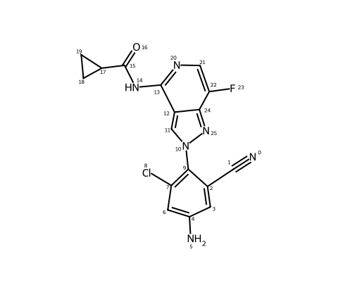 N#Cc1cc(N)cc(Cl)c1-n1cc2c(NC(=O)C3CC3)ncc(F)c2n1